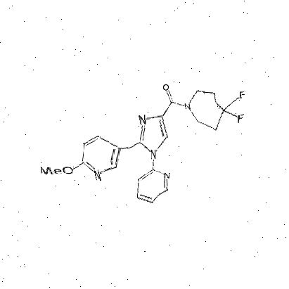 COc1ccc(-c2nc(C(=O)N3CCC(F)(F)CC3)cn2-c2ccccn2)cn1